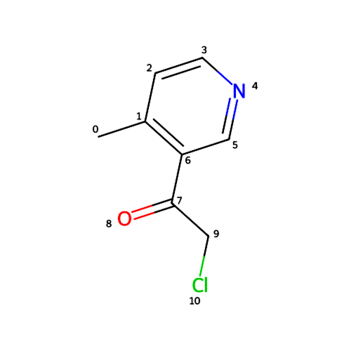 Cc1ccncc1C(=O)CCl